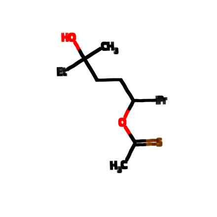 CCC(C)(O)CCC(OC(C)=S)C(C)C